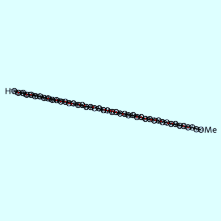 COCCOCCOCCOCCOCCOCCOCCOCCOCCOCCOCCOCCOCCOCCOCCOCCOCCOCCOCCOCCOCCOCCOCCOCCOCCOCCOCCOCCOCCOCCOCCOCCOCCOCCOCCOCCOCCOCCOCCOCCOCCOCCOCCOCCO